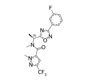 C[C@@H](c1nc(-c2cccc(F)c2)no1)N(C)C(=O)c1cc(C(F)(F)F)nn1C